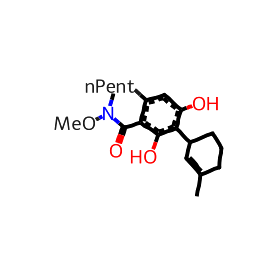 CCCCCc1cc(O)c(C2C=C(C)CCC2)c(O)c1C(=O)N(C)OC